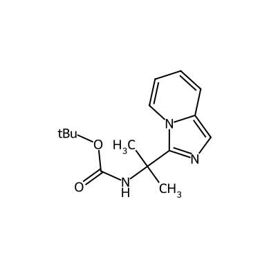 CC(C)(C)OC(=O)NC(C)(C)c1ncc2ccccn12